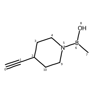 C#CC1CCN(B(C)O)CC1